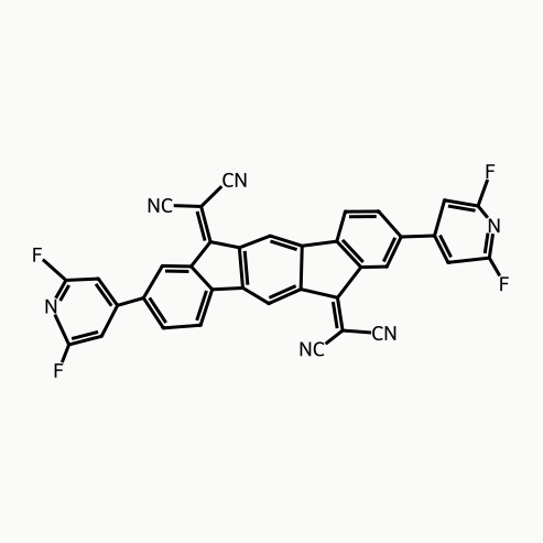 N#CC(C#N)=C1c2cc(-c3cc(F)nc(F)c3)ccc2-c2cc3c(cc21)-c1ccc(-c2cc(F)nc(F)c2)cc1C3=C(C#N)C#N